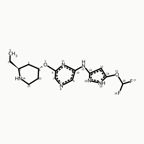 CC[C@H]1C[C@H](Oc2cncc(Nc3cc(OC(F)F)[nH]n3)n2)CCN1